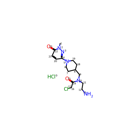 Cl.Cn1nc(N2CCC(CN(CCN)C(=O)CCl)CC2)ccc1=O